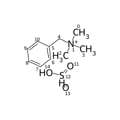 C[N+](C)(C)Cc1ccccc1.O=[SH](=O)O